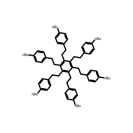 CCCCc1ccc(CCc2c(CCc3ccc(CCCC)cc3)c(CCc3ccc(CCCC)cc3)c(CCc3ccc(CCCC)cc3)c(CCc3ccc(CCCC)cc3)c2CCc2ccc(CCCC)cc2)cc1